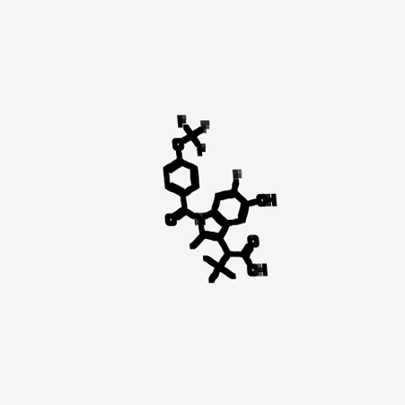 Cc1c(C(C(=O)O)C(C)(C)C)c2cc(O)c(F)cc2n1C(=O)c1ccc(OC(F)(F)F)cc1